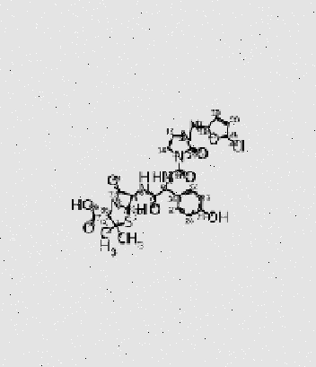 CC1(C)S[C@@H]2[C@H](NC(=O)C(NC(=O)N3CCN(N=C4C=CC(Cl)O4)C3=O)c3ccc(O)cc3)C(=O)N2[C@H]1C(=O)O